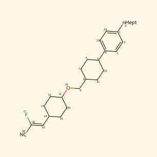 CCCCCCCc1ccc(C2CCC(COC3CCC(C=C(F)C#N)CC3)CC2)cc1